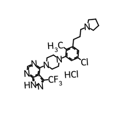 Cc1c(CCCN2CCCC2)cc(Cl)cc1N1CCN(c2ncnc3[nH]nc(C(F)(F)F)c23)CC1.Cl